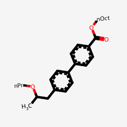 CCCCCCCCOC(=O)c1ccc(-c2ccc(CC(C)OCCC)cc2)cc1